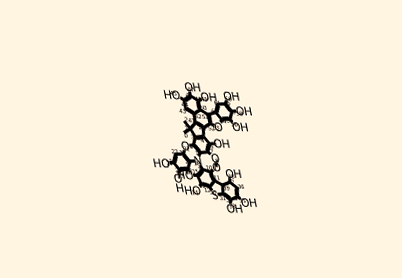 CC1(C)c2c(c(O)c3ooc4c5c(c(O)c(O)c4n4c3c2Oc2cc(O)c(O)cc2-4)SC2=C(O)C(O)=CC(O)C25)-c2c1c1cc(O)c(O)c(O)c1c1c2oc2c(O)c(O)c(O)cc21